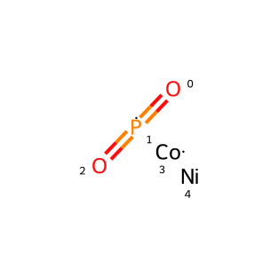 O=[P]=O.[Co].[Ni]